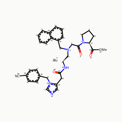 CC[C@H](C)[C@@H](CN(CC(=O)N1CCC[C@H]1C(=O)OC)Cc1cccc2ccccc12)NC(=O)Cc1cncn1Cc1ccc(C#N)cc1